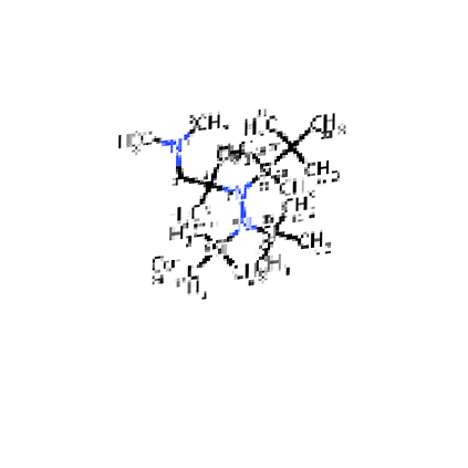 CN(C)CC(C)(C)N(N([Si](C)(C)C)[Si](C)(C)C)[Si](C)(C)C(C)(C)C.[Co]